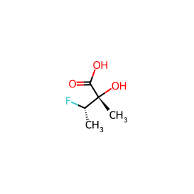 C[C@H](F)[C@@](C)(O)C(=O)O